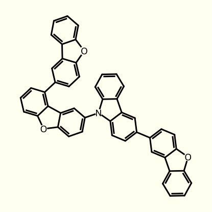 c1ccc2c(c1)oc1ccc(-c3ccc4c(c3)c3ccccc3n4-c3ccc4oc5cccc(-c6ccc7oc8ccccc8c7c6)c5c4c3)cc12